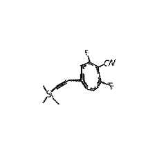 C[Si](C)(C)C#Cc1cc(F)c(C#N)c(F)c1